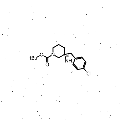 CC(C)(C)OC(=O)N1CCC[C@](N)(Cc2ccc(Cl)cc2)C1